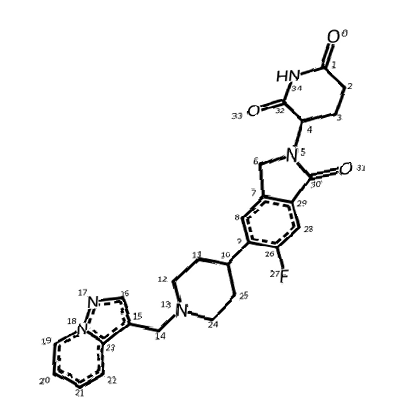 O=C1CCC(N2Cc3cc(C4CCN(Cc5cnn6ccccc56)CC4)c(F)cc3C2=O)C(=O)N1